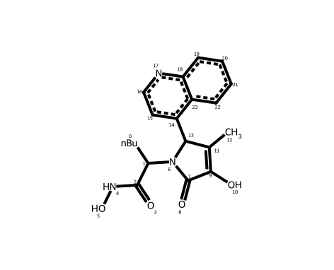 CCCCC(C(=O)NO)N1C(=O)C(O)=C(C)C1c1ccnc2ccccc12